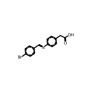 O=C(O)Cc1ccc(/N=C/c2ccc(Br)cc2)cc1